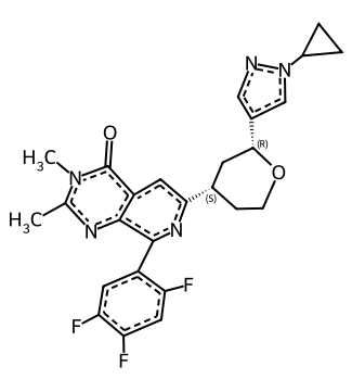 Cc1nc2c(-c3cc(F)c(F)cc3F)nc([C@H]3CCO[C@@H](c4cnn(C5CC5)c4)C3)cc2c(=O)n1C